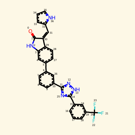 O=C1Nc2cc(-c3cccc(-c4n[nH]c(-c5cccc(C(F)(F)F)c5)n4)c3)ccc2C1=Cc1ccc[nH]1